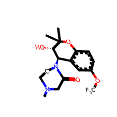 CN1CCN([C@@H]2c3cc(OC(F)(F)F)ccc3OC(C)(C)[C@H]2O)C(=O)C1